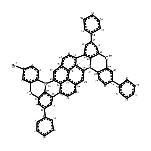 Brc1ccc2c(c1)Oc1cc(-c3ccccc3)cc3c1B2c1cc2ccc4c5c(cc6ccc-3c1c6c25)B1c2ccc(-c3ccccc3)cc2Oc2cc(-c3ccccc3)cc-4c21